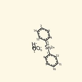 [OH-].[OH-].c1cc[c]([Sn+2][c]2ccccc2)cc1